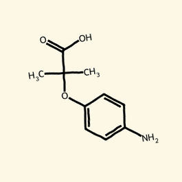 CC(C)(Oc1ccc(N)cc1)C(=O)O